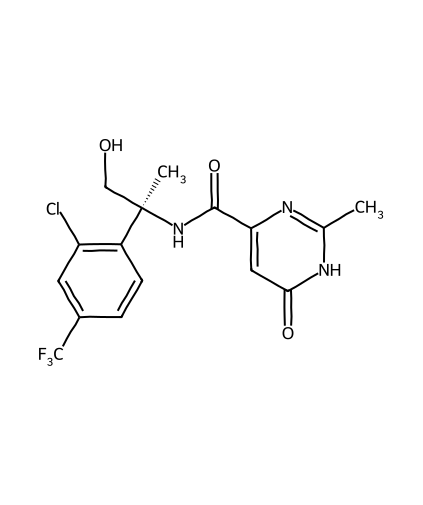 Cc1nc(C(=O)N[C@](C)(CO)c2ccc(C(F)(F)F)cc2Cl)cc(=O)[nH]1